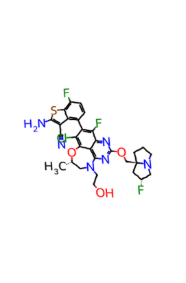 C[C@H]1CN(CCO)c2nc(OC[C@@]34CCCN3C[C@H](F)C4)nc3c(F)c(-c4ccc(F)c5sc(N)c(C#N)c45)c(Cl)c(c23)O1